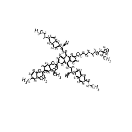 CCCc1ccc2cc(/C(C#N)=C/C=c3\c4ccc(C(=O)Oc5ccc(C(=O)Oc6ccc(C)cc6C)cc5OC)cc4/c(=C/C=C(\C#N)c4ccc5cc(CCC)ccc5c4)c4ccc(OCCCCCCOCC5(CC)COC5)cc34)ccc2c1